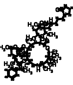 CC[C@H]1OC(=O)[C@H](C)[C@@H](O[C@H]2C[C@@](C)(OC)[C@](O)(CNCCCN3CCCC3=O)[C@H](C)O2)[C@H](C)[C@@H](O[C@@H]2O[C@H](C)C[C@H](N(C)C(=O)N(C)c3ccccc3)[C@H]2O)[C@](C)(O)C[C@@H](C)CN[C@H](C)[C@@H](O)[C@]1(C)O